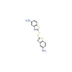 Nc1ccc2sc(SSc3nc4cc(N)ccc4s3)nc2c1